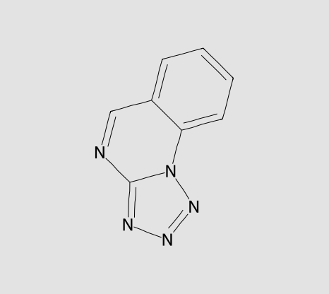 c1ccc2c(c1)cnc1nnnn12